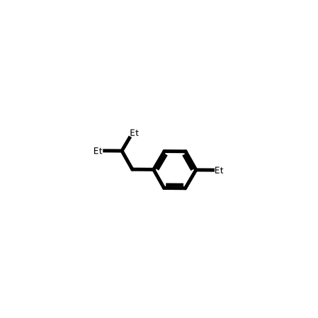 CCc1ccc(CC(CC)CC)cc1